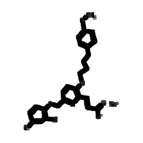 COc1ccc(CCCCOc2ccc(CSc3ccc(Cl)cc3Cl)nc2/C=C/C(=O)[O-])cc1.[Na+]